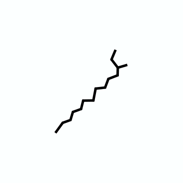 CCCCCCCCCCCC(C)CC